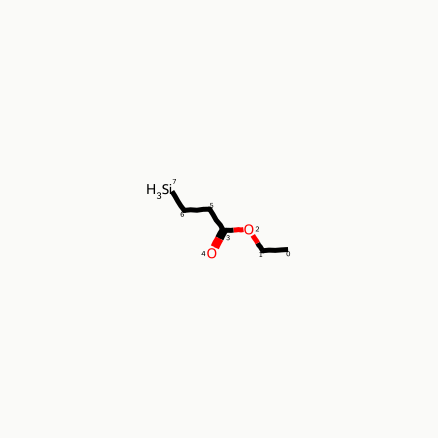 CCOC(=O)CC[SiH3]